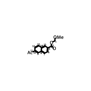 COCOC(=O)c1ccc2cc(C(C)=O)ccc2c1